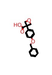 O=C(O)C1(c2ccc(OCc3ccccc3)cc2)COC1